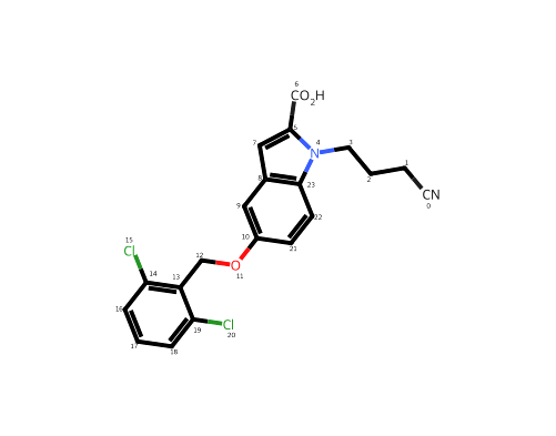 N#CCCCn1c(C(=O)O)cc2cc(OCc3c(Cl)cccc3Cl)ccc21